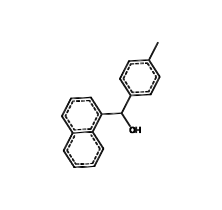 Cc1ccc(C(O)c2cccc3ccccc23)cc1